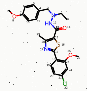 CCN(Cc1ccc(OC)cc1)NC(=O)c1sc(-c2ccc(Cl)cc2OC)nc1C